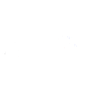 CCCC(CCC)C(=O)OCCSSCCOC(=O)NC(=O)N1c2ccccc2C=Cc2ccccc21